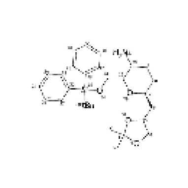 CC1(C)OCC(C[C@@H]2CCC(N)[C@@H](CO[Si](c3ccccc3)(c3ccccc3)C(C)(C)C)O2)O1